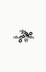 CCCCC1=[C]([Zr+2]([C]2=C(CCCC)C=C3C2=CC(CCCC)N3c2ccccc2)=[C](C)C)C2=CC(CCCC)N(c3ccccc3)C2=C1.[Cl-].[Cl-]